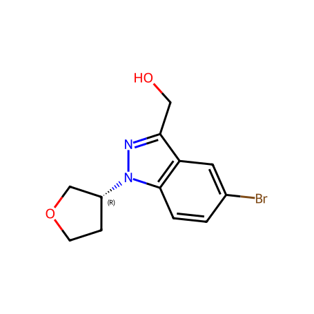 OCc1nn([C@@H]2CCOC2)c2ccc(Br)cc12